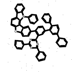 c1ccc(-c2ccc(-c3ccccc3)c(-c3ccc(-c4ccc5oc6ccc7c8ccccc8n(-c8ccccc8)c7c6c5c4)c(-c4nc(-c5ccccc5)nc(-c5ccccc5)n4)c3)c2)cc1